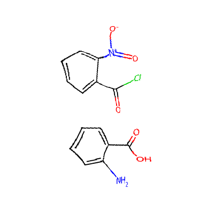 Nc1ccccc1C(=O)O.O=C(Cl)c1ccccc1[N+](=O)[O-]